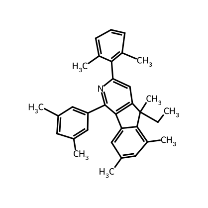 CCC1(C)c2cc(-c3c(C)cccc3C)nc(-c3cc(C)cc(C)c3)c2-c2cc(C)cc(C)c21